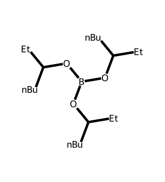 CCCCC(CC)OB(OC(CC)CCCC)OC(CC)CCCC